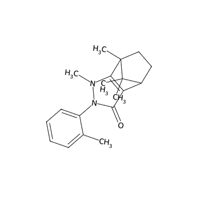 Cc1ccccc1-n1c(=O)c2c(n1C)C1(C)CCC2C1(C)C